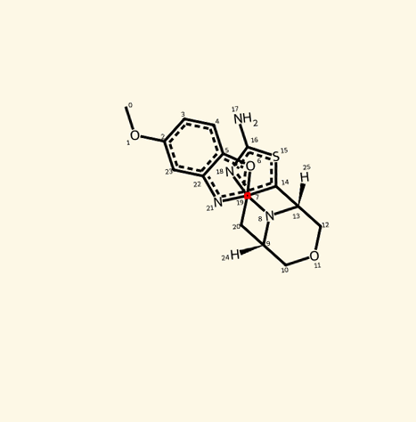 COc1ccc2oc(N3[C@@H]4COC[C@H]3c3sc(N)nc3C4)nc2c1